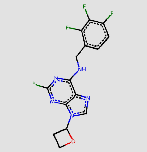 Fc1nc(NCc2ccc(F)c(F)c2F)c2ncn(C3CCO3)c2n1